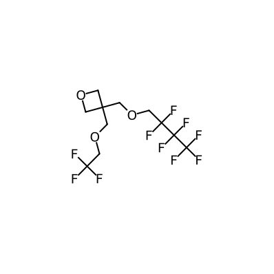 FC(F)(F)COCC1(COCC(F)(F)C(F)(F)C(F)(F)F)COC1